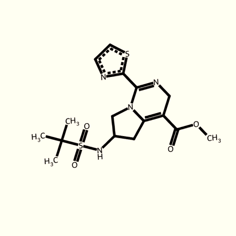 COC(=O)C1=C2CC(NS(=O)(=O)C(C)(C)C)CN2C(c2nccs2)=NC1